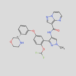 Cn1cc(NC(=O)c2cnn3cccnc23)c(-c2cc(Oc3cccc([C@H]4COCCN4)c3)ccc2OC(F)F)n1